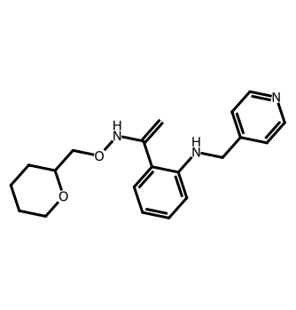 C=C(NOCC1CCCCO1)c1ccccc1NCc1ccncc1